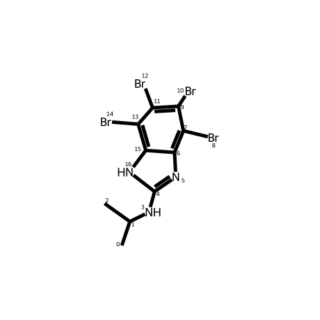 CC(C)Nc1nc2c(Br)c(Br)c(Br)c(Br)c2[nH]1